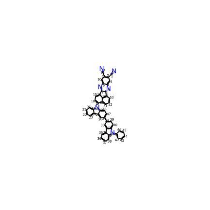 N#Cc1cc2nc3c(nc2cc1C#N)-c1ccc(-n2c4ccccc4c4cc(-c5ccc6c(c5)c5ccccc5n6-c5ccccc5)ccc42)c2cccc-3c12